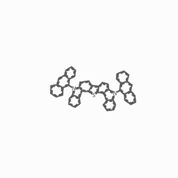 c1ccc2c(-n3c4ccccc4c4c5sc6c(ccc7c6c6ccccc6n7-c6c7ccccc7cc7ccccc67)c5ccc43)c3ccccc3cc2c1